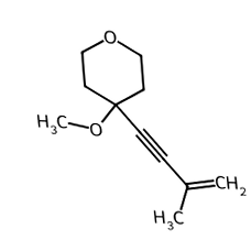 C=C(C)C#CC1(OC)CCOCC1